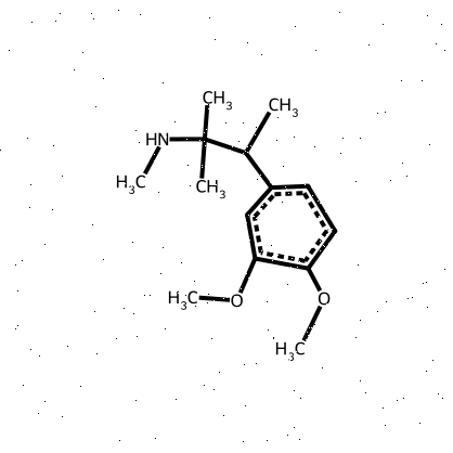 CNC(C)(C)C(C)c1ccc(OC)c(OC)c1